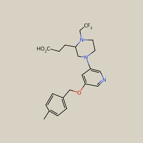 Cc1ccc(COc2cncc(N3CCN(CC(F)(F)F)C(CCC(=O)O)C3)c2)cc1